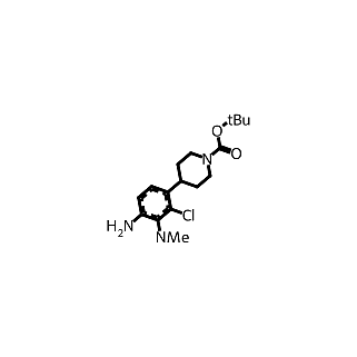 CNc1c(N)ccc(C2CCN(C(=O)OC(C)(C)C)CC2)c1Cl